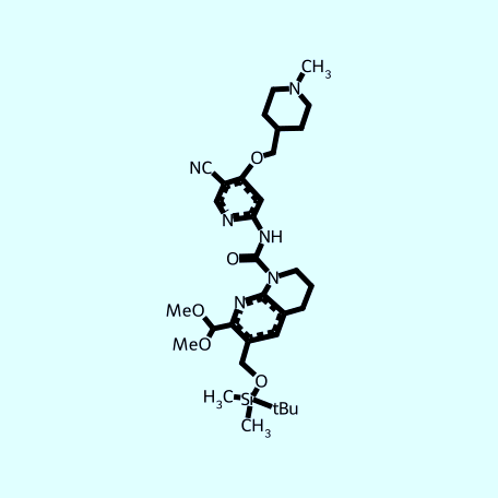 COC(OC)c1nc2c(cc1CO[Si](C)(C)C(C)(C)C)CCCN2C(=O)Nc1cc(OCC2CCN(C)CC2)c(C#N)cn1